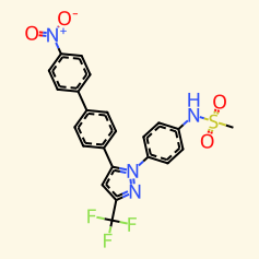 CS(=O)(=O)Nc1ccc(-n2nc(C(F)(F)F)cc2-c2ccc(-c3ccc([N+](=O)[O-])cc3)cc2)cc1